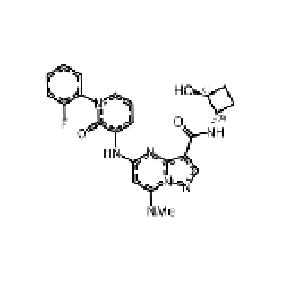 CNc1cc(Nc2cccn(-c3ccccc3F)c2=O)nc2c(C(=O)N[C@H]3CC[C@@H]3O)cnn12